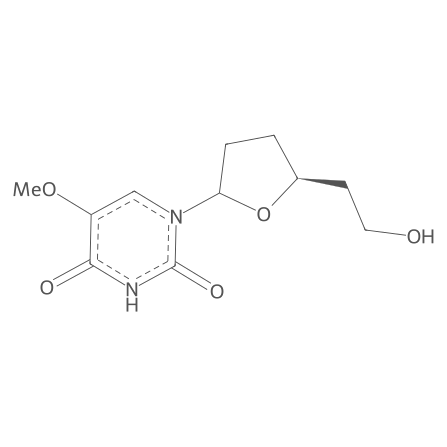 COc1cn(C2CC[C@@H](CCO)O2)c(=O)[nH]c1=O